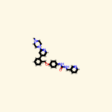 CN1CCN(c2cc(-c3ccccc3COc3ccc(NC(=O)NCc4cccnc4)cc3)ccn2)CC1